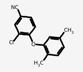 Cc1ccc(C)c(Oc2ccc(C#N)cc2Cl)c1